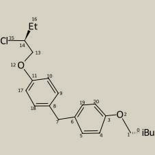 CC[C@@H](C)COc1ccc(Cc2ccc(OC[C@@H](Cl)CC)cc2)cc1